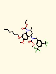 CCCCCCOc1cc2c(cc1OC)C(N(Cc1cc(C(F)(F)F)cc(C(F)(F)F)c1)C(=O)OC)CC(C)N2C(=O)OCC